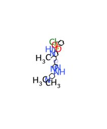 CCc1nc(NS(=O)(=O)c2ccccc2Cl)ccc1/C=C/c1cnc(NC2CCC(N(C)C)CC2)nc1